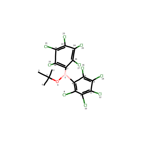 CC(C)(C)OB(c1c(Cl)c(Cl)c(Cl)c(Cl)c1Cl)c1c(Cl)c(Cl)c(Cl)c(Cl)c1Cl